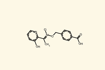 CC(c1ncccc1O)=[N+](Cl)OCc1ccc(C(=O)O)cc1